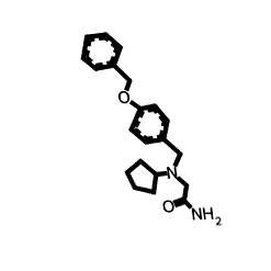 NC(=O)CN(Cc1ccc(OCc2ccccc2)cc1)C1CCCC1